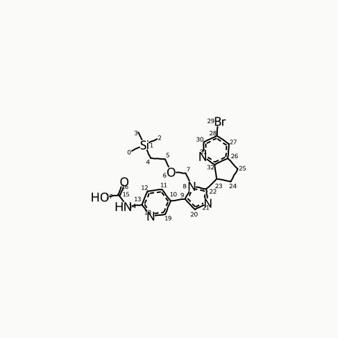 C[Si](C)(C)CCOCn1c(-c2ccc(NC(=O)O)nc2)cnc1C1CCc2cc(Br)cnc21